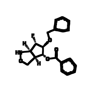 O=C(O[C@@H]1[C@H]2CON[C@H]2[C@H](F)[C@H]1OCc1ccccc1)c1ccccc1